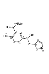 CNC(=O)c1cc(C(O)Cn2ccnc2)ccc1O